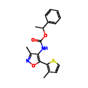 Cc1ccsc1-c1onc(C)c1NC(=O)OC(C)c1ccccc1